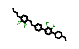 CCCCc1ccc(CCc2ccc(-c3ccc(C4CCC(CC)CC4)c(F)c3F)cc2)c(F)c1F